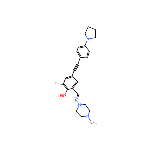 CN1CCN(/N=C/c2cc(C#Cc3ccc(N4CCCC4)cc3)cc(F)c2O)CC1